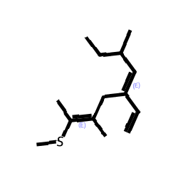 C=C/C(=C/C(C)CC)C/C(C)=C(\C)SC